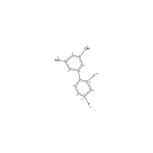 Oc1cc(O)cc(-c2ccc(F)cc2F)c1